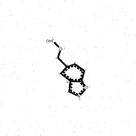 O=COCc1ccc2oncc2c1